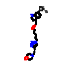 FC(F)(F)c1ccc2c(COCCCCCn3cc(CN4CCOCC4)nn3)ccnc2c1